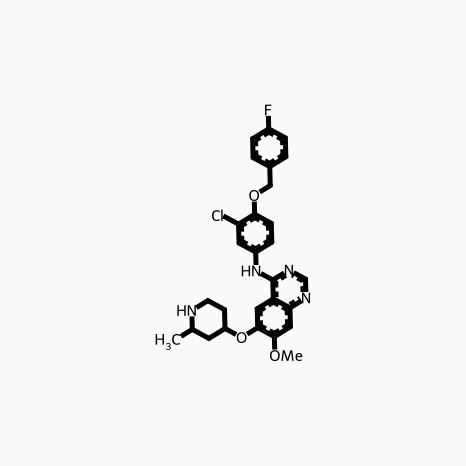 COc1cc2ncnc(Nc3ccc(OCc4ccc(F)cc4)c(Cl)c3)c2cc1OC1CCNC(C)C1